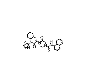 O=C(Nc1nccs1)[C@H](CC1CCCCC1)N1CCN(C(=S)Nc2cccc3ccccc23)CC1=O